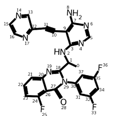 CC(Nc1ncnc(N)c1C#Cc1cnccn1)c1nc2cccc(F)c2c(=O)n1-c1cc(F)cc(F)c1